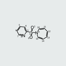 O=S(=O)(c1ccccn1)N1C=CC=CC=C1